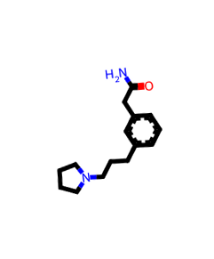 NC(=O)Cc1cccc(CCCN2CCCC2)c1